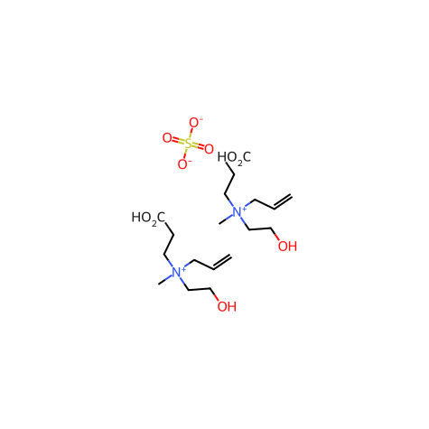 C=CC[N+](C)(CCO)CCC(=O)O.C=CC[N+](C)(CCO)CCC(=O)O.O=S(=O)([O-])[O-]